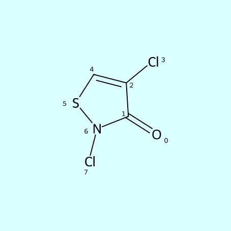 O=c1c(Cl)csn1Cl